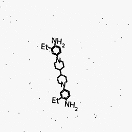 CCc1cc(N2CCC(C3CCN(c4ccc(N)c(CC)c4)CC3)CC2)ccc1N